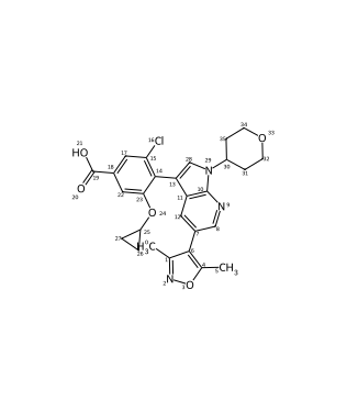 Cc1noc(C)c1-c1cnc2c(c1)c(-c1c(Cl)cc(C(=O)O)cc1OC1CC1)cn2C1CCOCC1